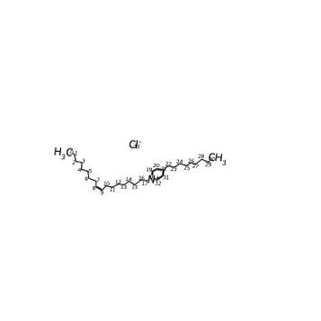 CCCCCCCC/C=C\CCCCCCCC[n+]1ccc(CCCCCCCCC)cc1.[Cl-]